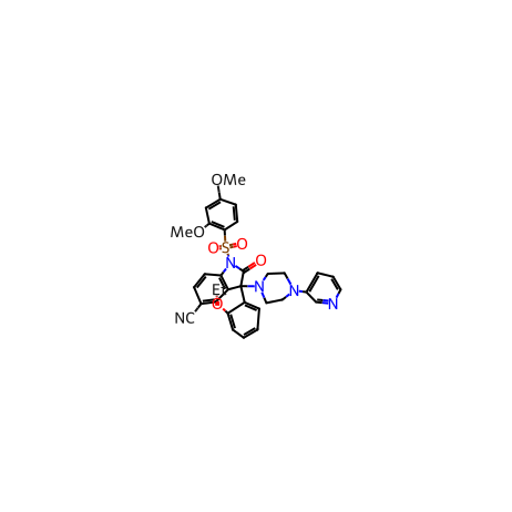 CCOc1ccccc1C1(N2CCN(c3cccnc3)CC2)C(=O)N(S(=O)(=O)c2ccc(OC)cc2OC)c2ccc(C#N)cc21